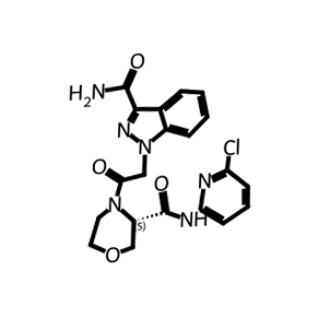 NC(=O)c1nn(CC(=O)N2CCOC[C@H]2C(=O)Nc2cccc(Cl)n2)c2ccccc12